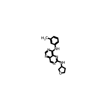 Cc1cccc(Nc2ncnc3cnc(NC4CCOC4)nc23)c1